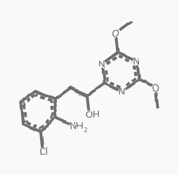 COc1nc(OC)nc(C(O)Cc2cccc(Cl)c2N)n1